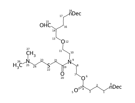 CCCCCCCCCCCCCC(=O)OCCN(CCOCC(C=O)CCCCCCCCCCCC)C(=O)CSCCN(C)C